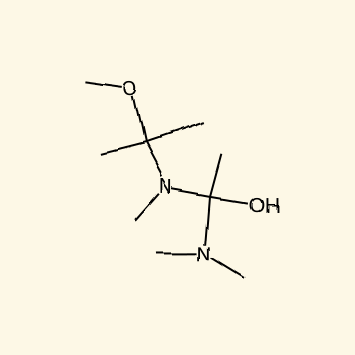 COC(C)(C)N(C)C(C)(O)N(C)C